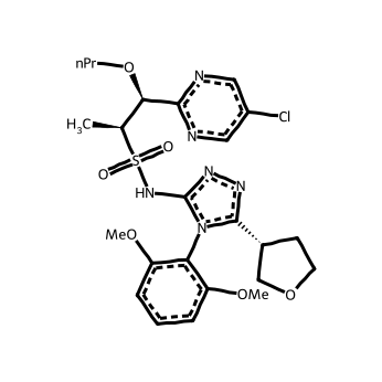 CCCO[C@@H](c1ncc(Cl)cn1)[C@H](C)S(=O)(=O)Nc1nnc([C@@H]2CCOC2)n1-c1c(OC)cccc1OC